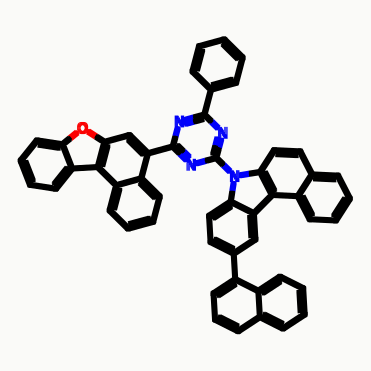 c1ccc(-c2nc(-c3cc4oc5ccccc5c4c4ccccc34)nc(-n3c4ccc(-c5cccc6ccccc56)cc4c4c5ccccc5ccc43)n2)cc1